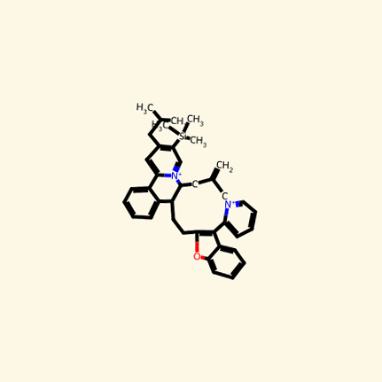 C=C1CC2C(CCc3oc4ccccc4c3-c3cccc[n+]3C1)c1ccccc1-c1cc(CC(C)C)c([Si](C)(C)C)c[n+]12